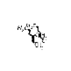 C=CC/C(C)=C/C.C=CC/C=C/C